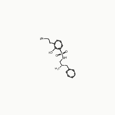 CC(C)CCc1cccc(S(=O)(=O)N[CH][C@H](C)Cc2ccccc2)c1O